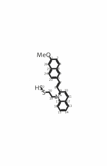 COc1ccc2cc(/C=C/c3ccc4ccccc4[n+]3CCSS)ccc2c1